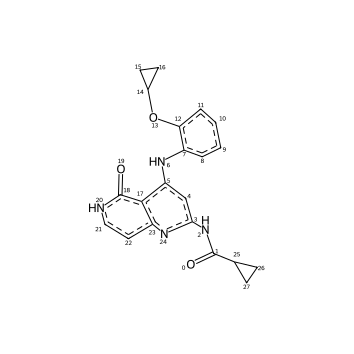 O=C(Nc1cc(Nc2ccccc2OC2CC2)c2c(=O)[nH]ccc2n1)C1CC1